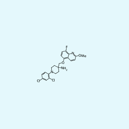 COc1ccc2c(OCC3(N)CCN(c4ccc(Cl)cc4Cl)CC3)ccc(F)c2n1